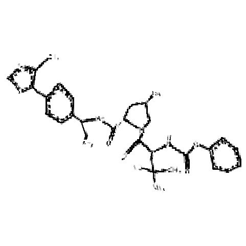 Cc1ncsc1-c1ccc([C@H](C)NC(=O)[C@@H]2C[C@@H](O)CN2C(=O)[C@@H](NC(=O)Oc2ccccc2)C(C)(C)C)cc1